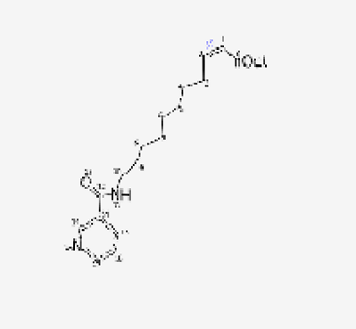 CCCCCCCC/C=C\CCCCCCCCNC(=O)c1cccnc1